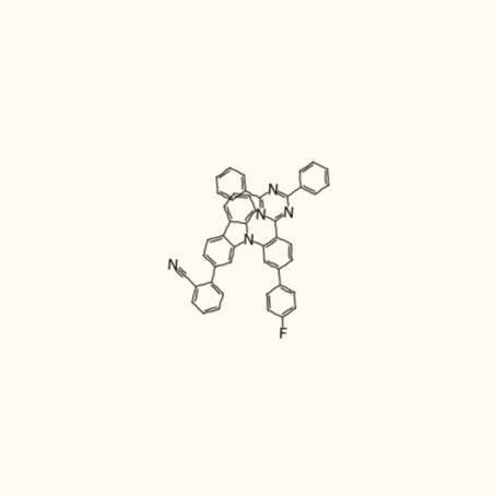 N#Cc1ccccc1-c1ccc2c3ccccc3n(-c3cc(-c4ccc(F)cc4)ccc3-c3nc(-c4ccccc4)nc(-c4ccccc4)n3)c2c1